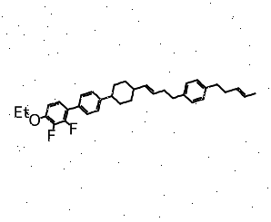 C/C=C/CCc1ccc(CC/C=C/C2CCC(c3ccc(-c4ccc(OCC)c(F)c4F)cc3)CC2)cc1